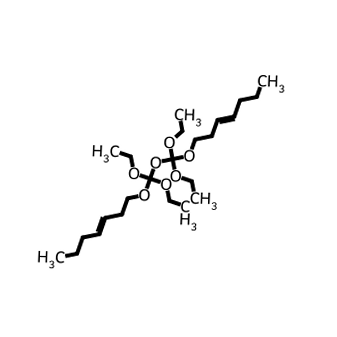 CCCC=CCCOC(OCC)(OCC)OC(OCC)(OCC)OCCC=CCCC